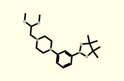 COC(CN1CCN(c2cccc(B3OC(C)(C)C(C)(C)O3)c2)CC1)OC